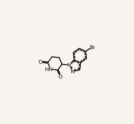 O=C1CCC(n2ncc3cc(Br)ccc32)C(=O)N1